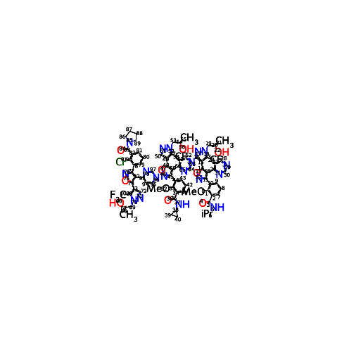 COc1c(C(=O)NC(C)C)cccc1-c1noc(-c2cnn(C[C@@H](C)O)c2C(F)(F)F)c1-c1ccncn1.COc1c(C(=O)NC2CC2)cccc1-c1noc(-c2cnn(C[C@@H](C)O)c2C(F)(F)F)c1-c1ccncn1.C[C@@H](O)Cn1ncc(-c2onc(-c3cccc(C(=O)N4CCCC4)c3Cl)c2-c2ccncn2)c1C(F)(F)F